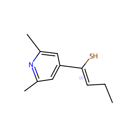 CC/C=C(\S)c1cc(C)nc(C)c1